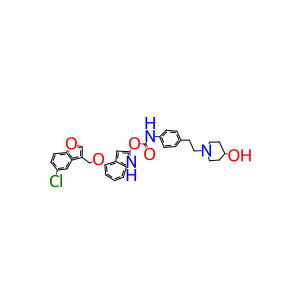 O=C(Nc1ccc(CCN2CCC(O)CC2)cc1)Oc1cc2c(OCc3coc4ccc(Cl)cc34)cccc2[nH]1